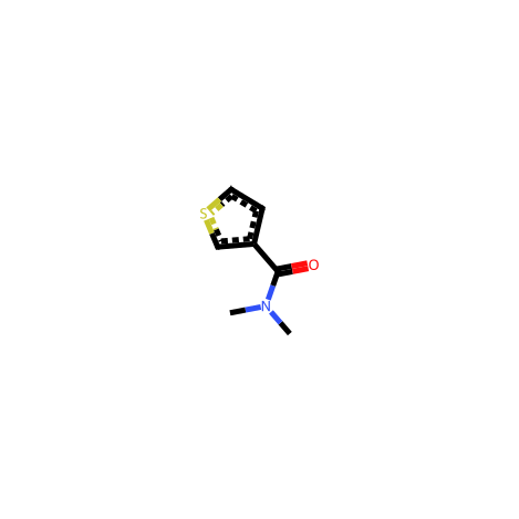 CN(C)C(=O)c1c[c]sc1